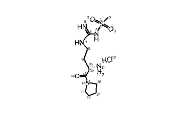 CS(=O)(=O)NC(=N)NCC[C@H](N)C(=O)N1CCCC1.Cl